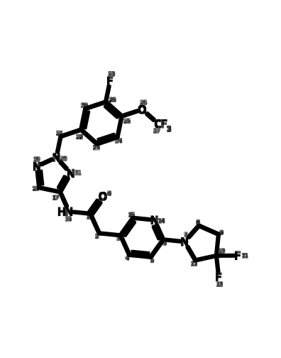 O=C(Cc1ccc(N2CCC(F)(F)C2)nc1)Nc1cnn(Cc2ccc(OC(F)(F)F)c(F)c2)n1